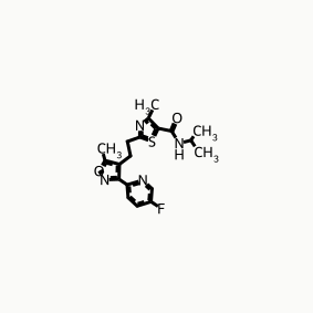 Cc1nc(CCc2c(-c3ccc(F)cn3)noc2C)sc1C(=O)NC(C)C